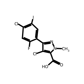 Cn1nc(-c2cc(I)c(Cl)cc2F)c(Cl)c1C(=O)O